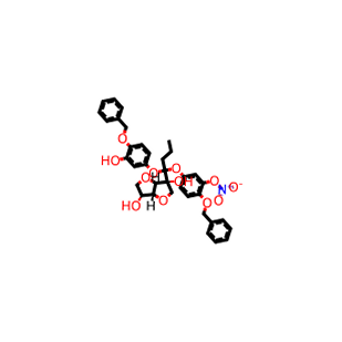 CCCC(Oc1ccc(OCc2ccccc2)c(O)c1)(Oc1ccc(OCc2ccccc2)c(O[N+](=O)[O-])c1)[C@]1(O)CO[C@@H]2[C@@H](O)CO[C@@H]21